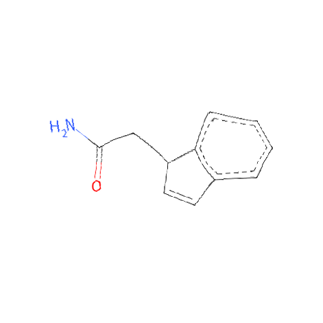 NC(=O)CC1C=Cc2ccccc21